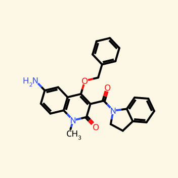 Cn1c(=O)c(C(=O)N2CCc3ccccc32)c(OCc2ccccc2)c2cc(N)ccc21